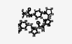 CN(C)C(=O)Nc1ccc(N2CCCC2c2csc(NC(=O)c3cccn3Cc3ccnc(F)c3)n2)cc1